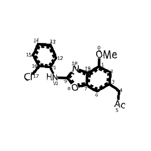 COc1cc(CC(C)=O)cc2oc(Nc3ccccc3Cl)nc12